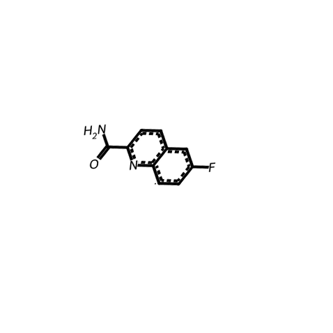 NC(=O)c1ccc2cc(F)c[c]c2n1